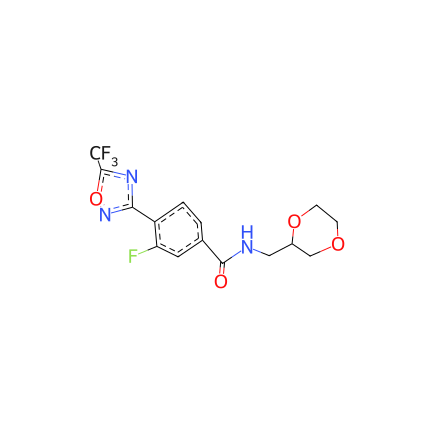 O=C(NCC1COCCO1)c1ccc(-c2noc(C(F)(F)F)n2)c(F)c1